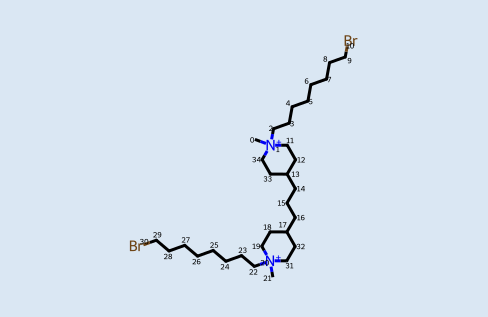 C[N+]1(CCCCCCCCBr)CCC(CCCC2CC[N+](C)(CCCCCCCCBr)CC2)CC1